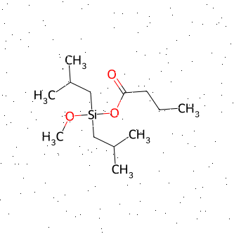 CCCC(=O)O[Si](CC(C)C)(CC(C)C)OC